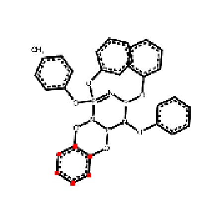 C.c1ccc(ON2P(Oc3ccccc3)N=P(Oc3ccccc3)(Oc3ccccc3)N(Oc3ccccc3)P2Oc2ccccc2)cc1